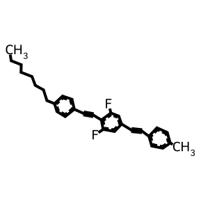 CCCCCCCCc1ccc(C#Cc2c(F)cc(C#Cc3ccc(C)cc3)cc2F)cc1